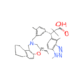 CC[C@@H]1CN(Cc2cc(C(c3ccc4c(nnn4C)c3C)C(C)(C)C(=O)O)ccc2C)Cc2c(ccc3c2CCCC3)O1